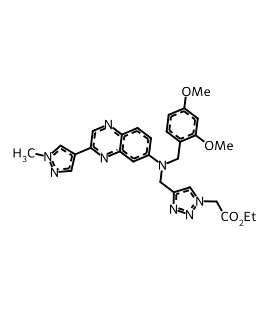 CCOC(=O)Cn1cc(CN(Cc2ccc(OC)cc2OC)c2ccc3ncc(-c4cnn(C)c4)nc3c2)nn1